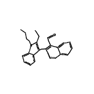 CCCn1c(CC)c(-c2ccc3ccccc3c2C=O)c2ccccc21